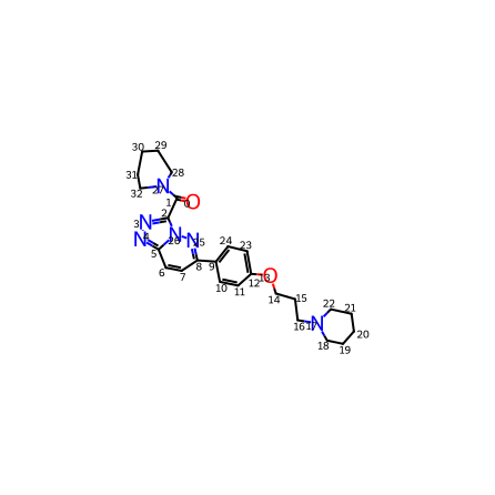 O=C(c1nnc2ccc(-c3ccc(OCCCN4CCCCC4)cc3)nn12)N1CCCCC1